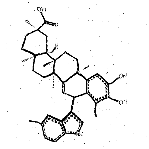 Cc1ccc2[nH]cc(C3C=C4[C@@](C)(CC[C@@]5(C)[C@@H]6C[C@](C)(C(=O)O)CC[C@]6(C)CC[C@]45C)c4cc(O)c(O)c(C)c43)c2c1